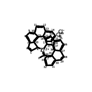 C[C](C)=[Zr+2]([CH]1C=Cc2ccc3ccc4ccccc4c3c21)[CH]1C=Cc2ccc3ccc4ccccc4c3c21.[Cl-].[Cl-]